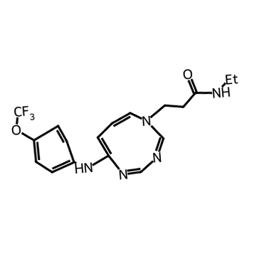 CCNC(=O)CCn1cccc(Nc2ccc(OC(F)(F)F)cc2)ncnc1